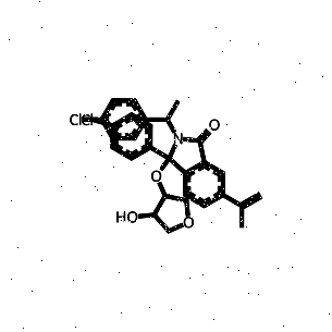 C=C(C)c1ccc2c(c1)C(=O)N(C(C)c1ccc(Cl)cc1)C2(OC1COCC1O)c1ccc(Cl)cc1